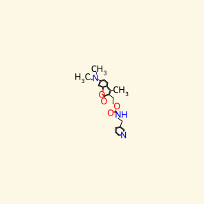 CCN(CC)c1ccc2c(C)c(CCOC(=O)NCCc3cccnc3)c(=O)oc2c1